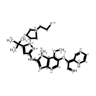 COc1c(O/C(C=N)=C2\C=NC=CN2)cnc2nc(Nc3cc(C(C)(C)C)n([C@@H]4CCN(CCF)C4)n3)n(C)c12